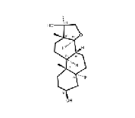 C[C@]12CC[C@H](O)C[C@@H]1CC[C@@H]1[C@@H]2CC[C@@]2(C)[C@H]1OC[C@]2(C)O